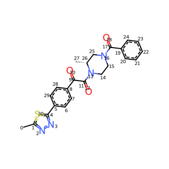 Cc1nnc(-c2ccc(C(=O)C(=O)N3CCN(C(=O)c4ccccc4)C[C@H]3C)cc2)s1